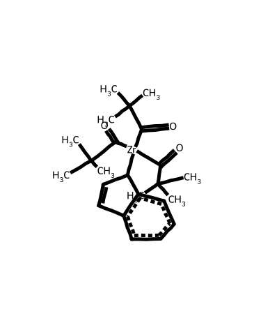 CC(C)(C)[C](=O)[Zr]([C](=O)C(C)(C)C)([C](=O)C(C)(C)C)[CH]1C=Cc2ccccc21